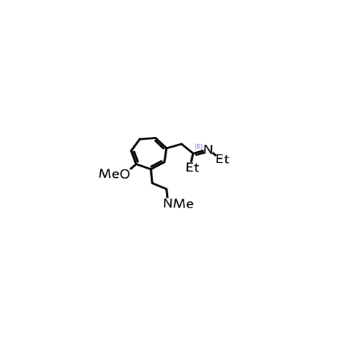 CC/N=C(\CC)CC1=CCC=C(OC)C(CCNC)=C1